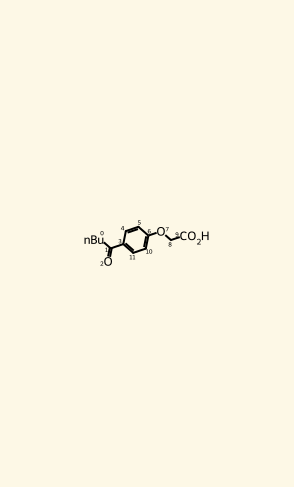 CCCCC(=O)c1ccc(OCC(=O)O)cc1